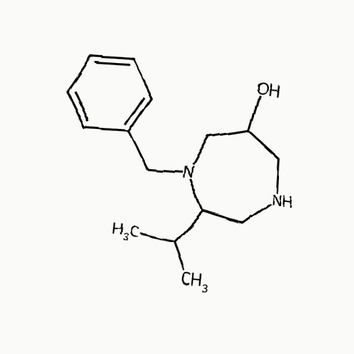 CC(C)C1CNCC(O)CN1Cc1ccccc1